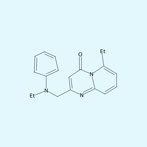 CCc1cccc2nc(CN(CC)c3ccccc3)cc(=O)n12